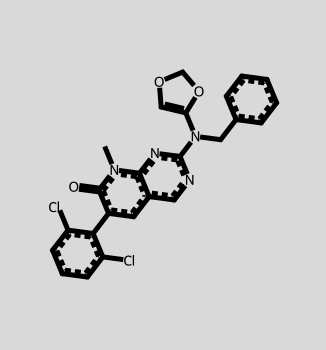 Cn1c(=O)c(-c2c(Cl)cccc2Cl)cc2cnc(N(Cc3ccccc3)C3=COCO3)nc21